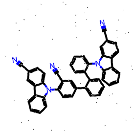 N#Cc1ccc2c(c1)c1ccccc1n2-c1ccc(-c2ccccc2-c2ccccc2-n2c3ccccc3c3ccc(C#N)cc32)cc1C#N